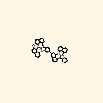 c1ccc2c(c1)N1B3N2c2cccc4cc(-c5ccc6c(c5)N5B7N6c6cccc8ccc9c(c68)N7c6c(ccc7cccc5c67)O9)cc(c24)N3c2cccc3cccc1c23